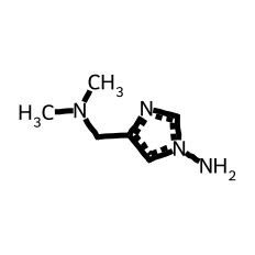 CN(C)Cc1cn(N)cn1